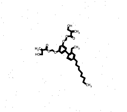 C=C(CO)C(=O)OCOc1cc(OCOC(=O)C(=C)CO)cc(-c2ccc(CCCCCCCCC)cc2CC)c1